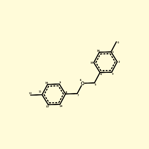 Cc1ccc(COCc2ccc(C)cc2)cc1